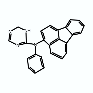 C1=NCNC(N(c2ccccc2)c2ccc3c4c(cccc24)-c2ccccc2-3)=N1